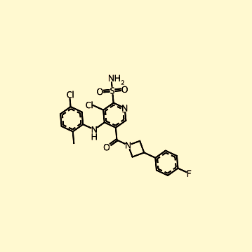 Cc1ccc(Cl)cc1Nc1c(C(=O)N2CC(c3ccc(F)cc3)C2)cnc(S(N)(=O)=O)c1Cl